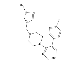 CC(C)n1cc(CN2CCN(c3ncccc3-c3ccc(F)cc3)CC2)cn1